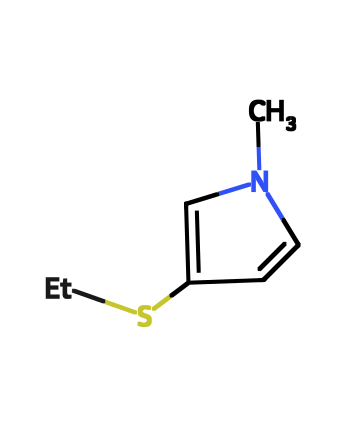 [CH2]CSc1ccn(C)c1